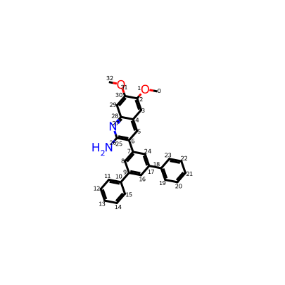 COc1cc2cc(-c3cc(-c4ccccc4)cc(-c4ccccc4)c3)c(N)nc2cc1OC